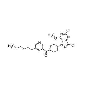 CCCCCCc1cncc(C(=O)N2CCC(n3nc(Cl)c4nc(Cl)nc(OC)c43)CC2)c1